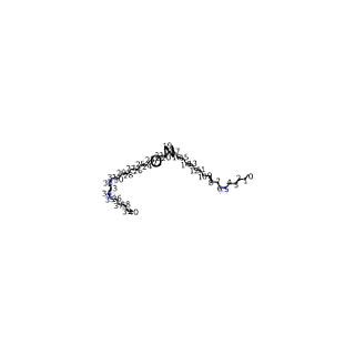 CCCCC/C=C\CC=CCCCCCCCCN(C)CCOCCCCCCCC/C=C\C/C=C\CCCCC